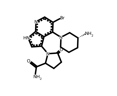 NC(=O)C1CCC(=O)N1c1c[nH]c2ncc(Br)c(N3CCC[C@@H](N)C3)c12